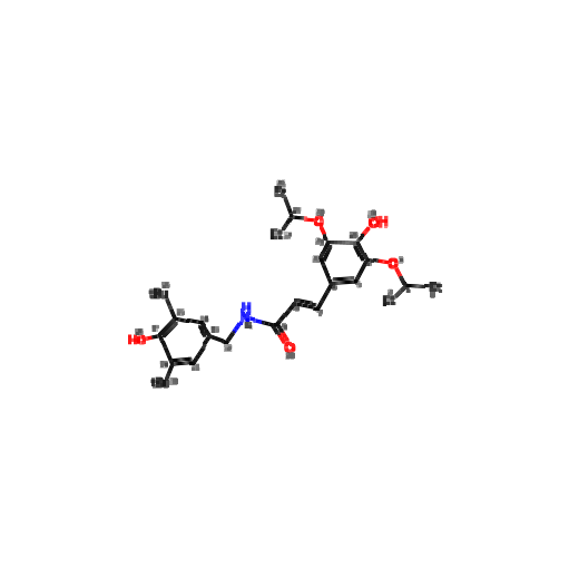 CCC(CC)Oc1cc(/C=C/C(=O)NCc2cc(C(C)(C)C)c(O)c(C(C)(C)C)c2)cc(OC(CC)CC)c1O